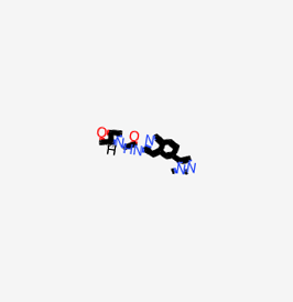 Cn1cncc1-c1ccc2cnc(NC(=O)CN3CC4OC[C@@H]43)cc2c1